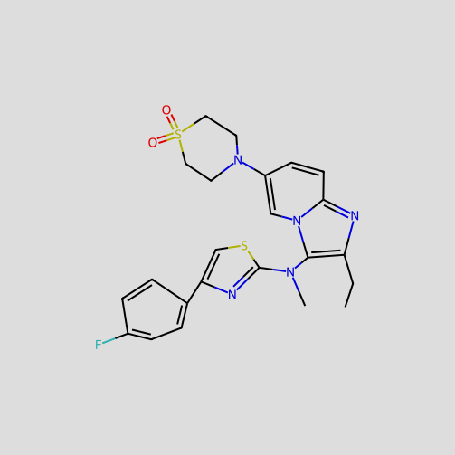 CCc1nc2ccc(N3CCS(=O)(=O)CC3)cn2c1N(C)c1nc(-c2ccc(F)cc2)cs1